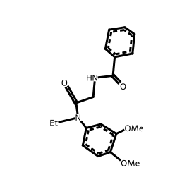 CCN(C(=O)CNC(=O)c1ccccc1)c1ccc(OC)c(OC)c1